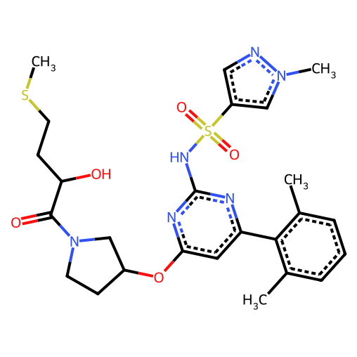 CSCCC(O)C(=O)N1CCC(Oc2cc(-c3c(C)cccc3C)nc(NS(=O)(=O)c3cnn(C)c3)n2)C1